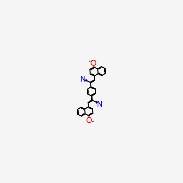 COc1ccc(C=C(C#N)c2ccc(C(C#N)=Cc3ccc(OC)c4ccccc34)cc2)c2ccccc12